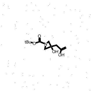 C=C(O)CC1(O)CN(C(=O)OC(C)(C)C)C1